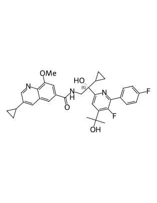 COc1cc(C(=O)NC[C@](O)(c2cc(C(C)(C)O)c(F)c(-c3ccc(F)cc3)n2)C2CC2)cc2cc(C3CC3)cnc12